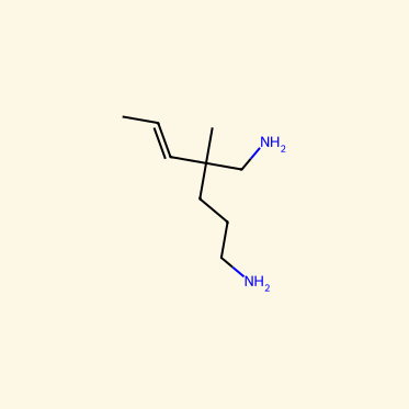 CC=CC(C)(CN)CCCN